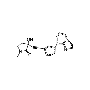 CN1CCC(O)(C#Cc2cccc(-c3nccn4ccnc34)c2)C1=O